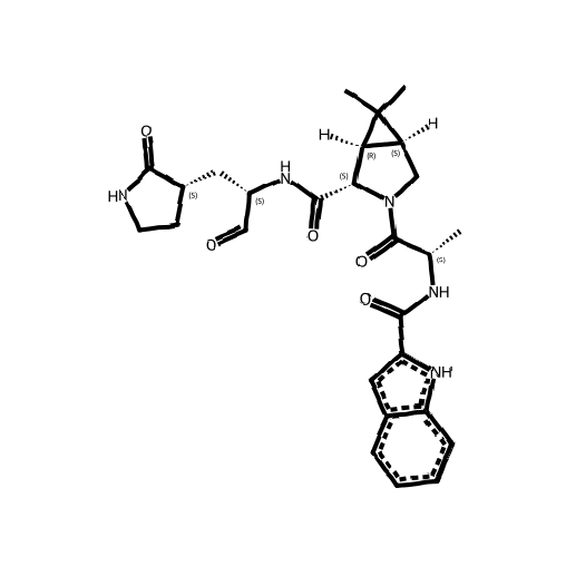 C[C@H](NC(=O)c1cc2ccccc2[nH]1)C(=O)N1C[C@H]2[C@@H]([C@H]1C(=O)N[C@H](C=O)C[C@@H]1CCNC1=O)C2(C)C